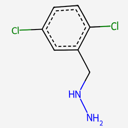 NNCc1cc(Cl)ccc1Cl